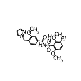 COc1cc(C(=O)N[S@](=N)(=O)c2c(OC)ccc(Cl)c2OC)ccc1Cn1cccn1